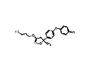 CCCCOC(=O)CC(C)(O)c1ccc(Oc2ccc(Cl)cc2)cc1